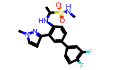 CNS(=O)(=O)C(C)Nc1ccc(-c2ccc(F)c(F)c2)cc1-c1ccn(C)n1